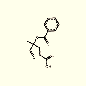 CC(C=S)(CCC(=O)O)SC(=S)c1ccccc1